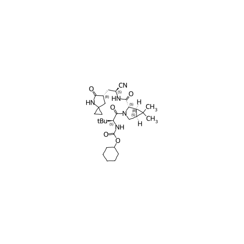 CC(C)(C)[C@H](NC(=O)OC1CCCCC1)C(=O)N1C[C@H]2[C@@H]([C@H]1C(=O)N[C@H](C#N)C[C@@H]1CC3(CC3)NC1=O)C2(C)C